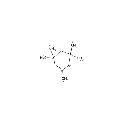 CC1CC(C)(C)CC(C)(C)C1